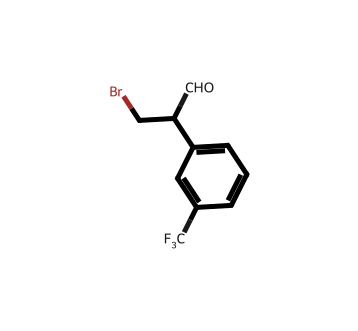 O=CC(CBr)c1cccc(C(F)(F)F)c1